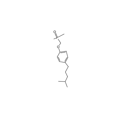 CC(C)CCCc1ccc(OCP(C)(C)=O)cc1